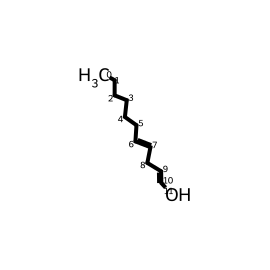 CCCCCCC=CCC=CO